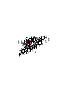 COc1cccc(-c2nnc(N(CC[Si](C)(C)C)S(=O)(=O)[C@H](C)[C@H](O)c3ccc(F)cc3F)n2-c2c(OC)cccc2OC)c1